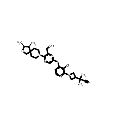 C[C@@H]1OCC2(CCN(c3ncc(Sc4ccnc(N5CC(C(C)(C)C#N)C5)c4Cl)nc3CO)CC2)[C@@H]1C